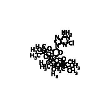 CC(C)(C)[Si](C)(C)OC[C@H]1O[C@@H](n2cnc3c(N)nc(Cl)nc32)[C@H](O[Si](C)(C)C(C)(C)C)[C@@H]1O[Si](C)(C)C(C)(C)C